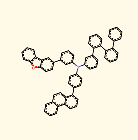 c1ccc(-c2ccccc2-c2ccccc2-c2cccc(N(c3ccc(-c4cccc5c4ccc4ccccc45)cc3)c3cccc(-c4ccc5oc6ccccc6c5c4)c3)c2)cc1